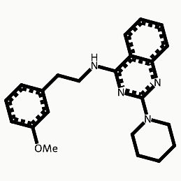 COc1cccc(CCNc2nc(N3CCCCC3)nc3ccccc23)c1